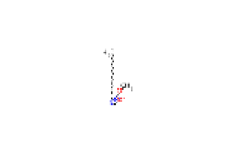 CCCCCCCCCCCCCCCC1=NCC[N+]1([O-])CCOCC